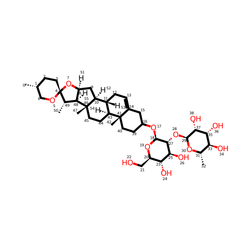 C[C@@H]1CC[C@@]2(OC1)O[C@H]1C[C@H]3[C@@H]4CC=C5CC(O[C@@H]6O[C@H](CO)[C@@H](O)[C@H](O)[C@H]6O[C@@H]6O[C@@H](C)[C@H](O)[C@@H](O)[C@H]6O)CC[C@]5(C)[C@H]4CC[C@]3(C)[C@H]1[C@@H]2C